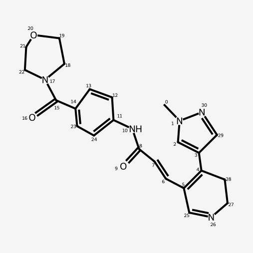 Cn1cc(C2=C(/C=C/C(=O)Nc3ccc(C(=O)N4CCOCC4)cc3)C=NCC2)cn1